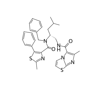 Cc1nc(C(=O)N(Cc2ccccc2)[C@@H](CNC(=O)c2c(C)nc3sccn23)CC(C)C)c(-c2ccccc2)s1